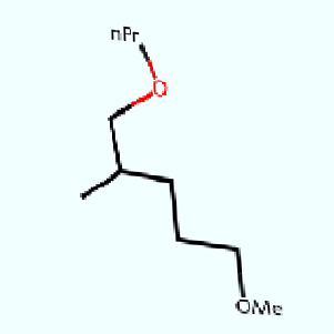 CCCOCC(C)CCCOC